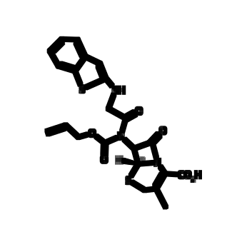 C=CCOC(=O)N(C(=O)CNc1cc2ccccc2s1)C1C(=O)N2C(C(=O)O)=C(C)CS[C@H]12